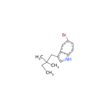 CCC(C)(C)Cc1c[nH]c2ccc(Br)cc12